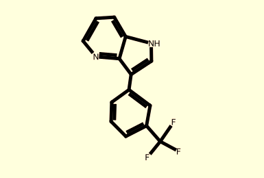 FC(F)(F)c1cccc(-c2c[nH]c3cccnc23)c1